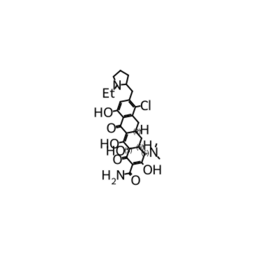 CCN1CCCC1Cc1cc(O)c2c(c1Cl)C[C@H]1C[C@H]3[C@H](N(C)C)C(O)=C(C(N)=O)C(=O)[C@@]3(O)C(O)=C1C2=O